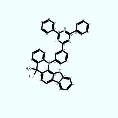 CC1(C)c2ccccc2N(c2cccc(-c3nc(-c4ccccc4)nc(-c4ccccc4)n3)c2)c2c1ccc1c2oc2ccccc21